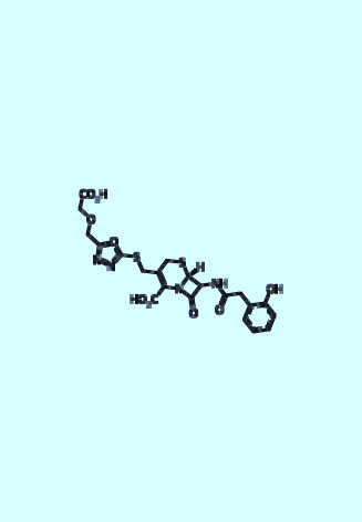 O=C(O)COCc1nnc(SCC2=C(C(=O)O)N3C(=O)C(NC(=O)Cc4ccccc4O)[C@H]3SC2)o1